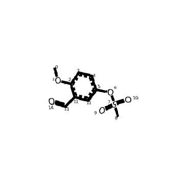 COc1ccc(OS(C)(=O)=O)cc1C=O